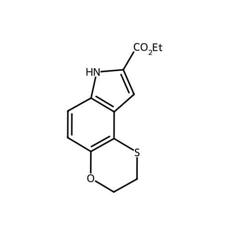 CCOC(=O)c1cc2c3c(ccc2[nH]1)OCCS3